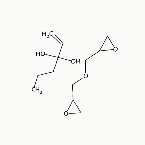 C(OCC1CO1)C1CO1.C=CC(O)(O)CCC